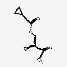 O=C(O)C(Cl)=COC(=O)C1CC1